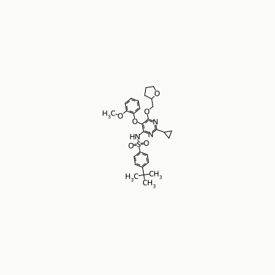 COc1ccccc1Oc1c(NS(=O)(=O)c2ccc(C(C)(C)C)cc2)nc(C2CC2)nc1OCC1CCCO1